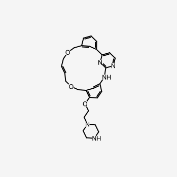 C1=C/COCc2cc(ccc2OCCN2CCNCC2)Nc2nccc(n2)-c2cccc(c2)COC/1